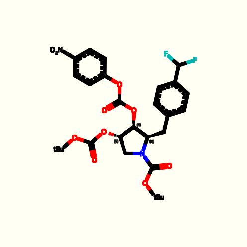 CC(C)(C)OC(=O)O[C@H]1CN(C(=O)OC(C)(C)C)[C@H](Cc2ccc(C(F)F)cc2)[C@@H]1OC(=O)Oc1ccc([N+](=O)[O-])cc1